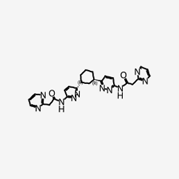 O=C(Cc1ncccn1)Nc1ccc([C@@H]2CCC[C@@H](c3ccc(NC(=O)Cc4ncccn4)nn3)C2)nn1